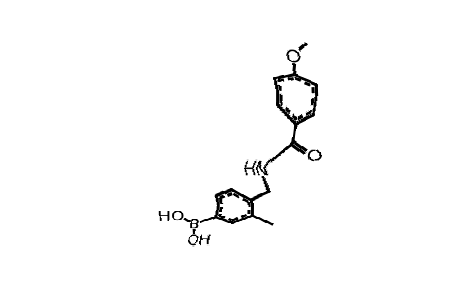 COc1ccc(C(=O)NCc2ccc(B(O)O)cc2C)cc1